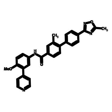 COc1ccc(NC(=O)c2ccc(-c3ccc(-c4noc(C)n4)cc3)c(C)c2)cc1-c1ccncc1